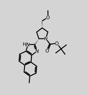 COC[C@H]1C[C@@H](c2nc3c(ccc4cc(C)ccc43)[nH]2)N(C(=O)OC(C)(C)C)C1